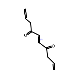 C=CCC(=O)/C=C/C(=O)CC=C